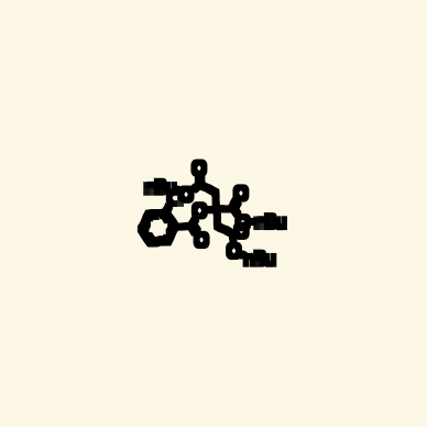 CCCCOC(=O)CC(CC(=O)OCCCC)(OC(=O)c1ccccc1Cl)C(=O)OCCCC